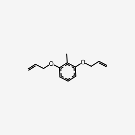 C=CCOc1cccc(OCC=C)c1C